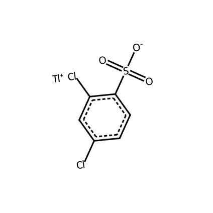 O=S(=O)([O-])c1ccc(Cl)cc1Cl.[Tl+]